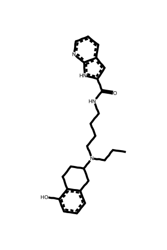 CCCN(CCCCNC(=O)c1cc2cccnc2[nH]1)C1CCc2c(O)cccc2C1